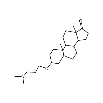 CN(C)CCCOC1CCC2(C)C(CCC3C4CCC(=O)C4(C)CCC32)C1